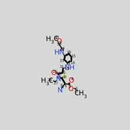 CCOC(=O)C(C#N)=c1sc(=CNc2cccc(NCCOC)c2)c(=O)n1CC